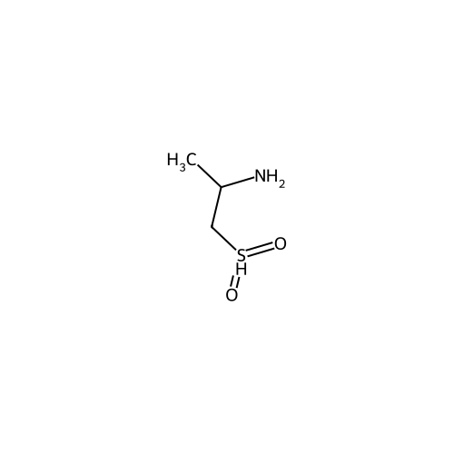 CC(N)C[SH](=O)=O